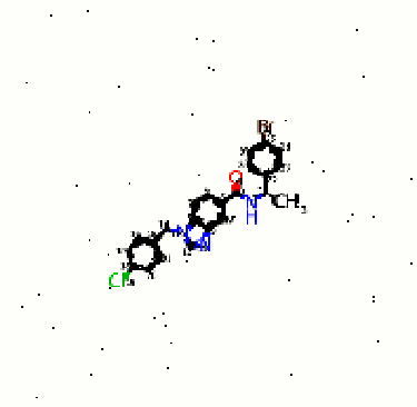 C[C@@H](NC(=O)c1ccc2c(c1)ncn2Cc1ccc(Cl)cc1)c1ccc(Br)cc1